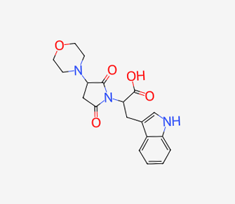 O=C(O)C(Cc1c[nH]c2ccccc12)N1C(=O)CC(N2CCOCC2)C1=O